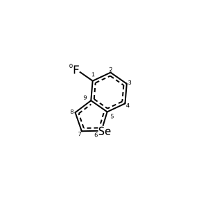 Fc1cccc2[se]ccc12